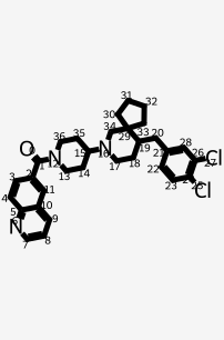 O=C(c1ccc2ncccc2c1)N1CCC(N2CCC(Cc3ccc(Cl)c(Cl)c3)C3(CCCC3)C2)CC1